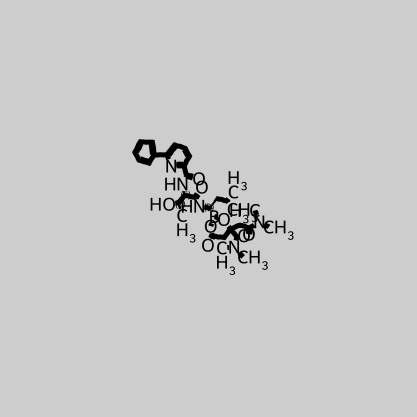 CC(C)C[C@H](NC(=O)[C@@H](NC(=O)c1cccc(-c2ccccc2)n1)[C@@H](C)O)B1OC(=O)CC(CC(=O)N(C)C)(C(=O)N(C)C)O1